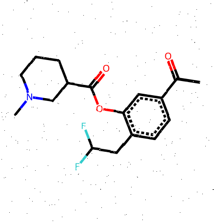 CC(=O)c1ccc(CC(F)F)c(OC(=O)C2CCCN(C)C2)c1